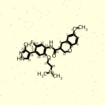 COc1ccc2c(c1)CC(C(=O)Nc1cc(F)c(-c3c[nH]nc3C)cc1OCCN(C)C)CO2